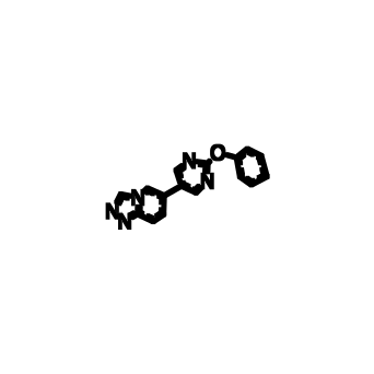 c1ccc(Oc2ncc(-c3ccc4nncn4c3)cn2)cc1